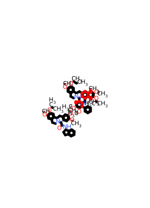 CCC(C)Oc1cc2c(cc1OC)CCN(C(C(=O)NCc1ccccc1)N1CCc3cc(OC)c(OC(C)C)cc3C1Cc1ccc(OC)c(OC)c1)C2Cc1ccc(OC)c(OC)c1.COc1ccc(CC2c3cc(OC(C)C)c(OC)cc3CCN2CC(=O)N[C@H]2CCc3ccccc32)cc1OC